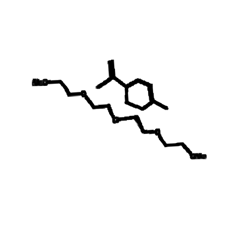 C=C(C)C1CC=C(C)CC1.COCCOCCOCCOCCOC